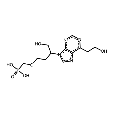 O=P(O)(O)COCCC(CO)n1cnc2c(CCO)ncnc21